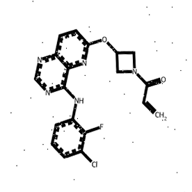 C=CC(=O)N1CC(Oc2ccc3ncnc(Nc4cccc(Cl)c4F)c3n2)C1